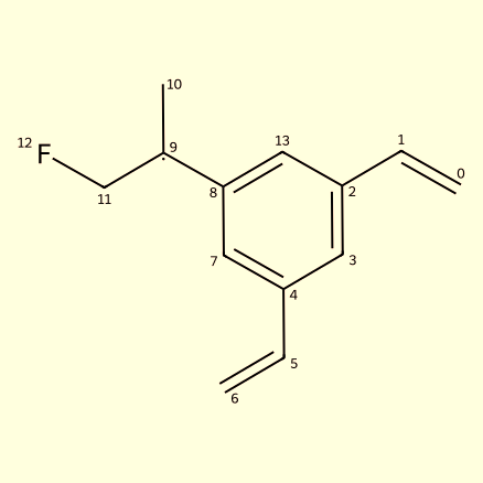 C=Cc1cc(C=C)cc([C](C)CF)c1